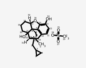 C[N+]1(CC2CC2)CC[C@]23c4c5ccc(O)c4O[C@H]2CCCC3(O)[C@H]1C5.O=S(=O)([O-])C(F)(F)F